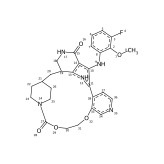 COc1c(F)cccc1Nc1c2[nH]c3c1C(=O)NCC3CC1CCN(CC1)C(=O)OCCOc1cnccc1-2